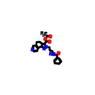 O=C(NCCCn1nc2c(c1C(=O)OC(=O)C(F)(F)F)CCc1cnccc1-2)c1ccccc1